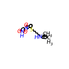 CC12CC3CC(C)(C1)CC(NCCCCCCCSc1cccc4c1CN(C1CCC(=O)NC1=O)C4=O)(C3)C2